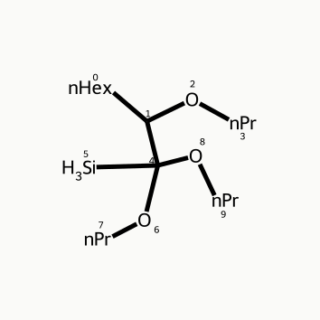 CCCCCCC(OCCC)C([SiH3])(OCCC)OCCC